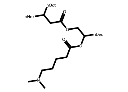 CCCCCCCCCCC(COC(=O)CC(CCCCCC)CCCCCCCC)OC(=O)CCCCN(C)C